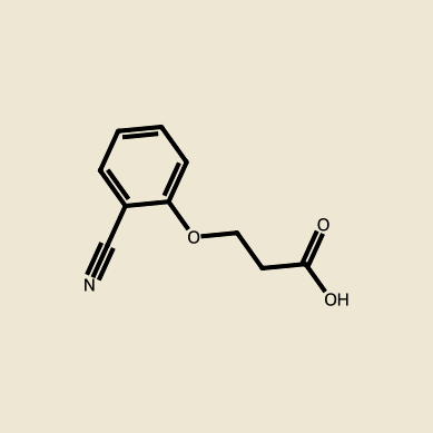 N#Cc1ccccc1OCCC(=O)O